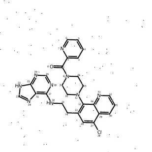 O=C(c1ccccn1)N1CCN(c2c(CCNc3ncnc4[nH]cnc34)cc(Cl)c3cccnc23)CC1